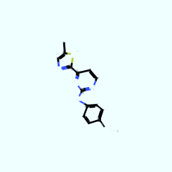 CSc1ccc(Nc2nccc(-c3ncc(C)s3)n2)cc1